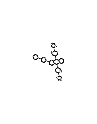 c1ccc(-c2ccc(-c3ccc4c(-c5ccc(-c6cncs6)nc5)c5ccccc5c(-c5ccc(-c6cncs6)nc5)c4c3)cc2)cc1